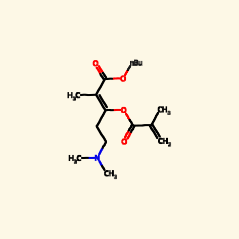 C=C(C)C(=O)OC(CCN(C)C)=C(C)C(=O)OCCCC